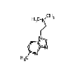 Cc1ccc2c(ncn2CCN(C)C)n1